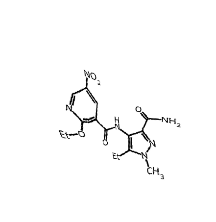 CCOc1ncc([N+](=O)[O-])cc1C(=O)Nc1c(C(N)=O)nn(C)c1CC